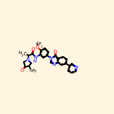 CCCC1CN(C(C)C(=O)Nc2cc(-n3cnc4cc(-c5cccnc5)ccc4c3=O)ccc2OC(F)(F)F)CC1=O